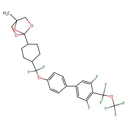 CC12COC(C3CCC(C(F)(F)Oc4ccc(-c5cc(F)c(C(F)(F)OC(F)(F)F)c(F)c5)cc4)CC3)(OC1)O2